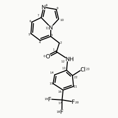 O=C(Cc1cccc2nccn12)Nc1ccc(C(F)(F)F)cc1Cl